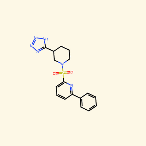 O=S(=O)(c1cccc(-c2ccccc2)n1)N1CCCC(c2nnn[nH]2)C1